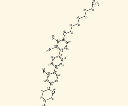 C=CC1CCC(c2ccc(-c3ccc(-c4ccc(OCCCCCCCC)c(F)c4F)cc3)c(F)c2)OC1